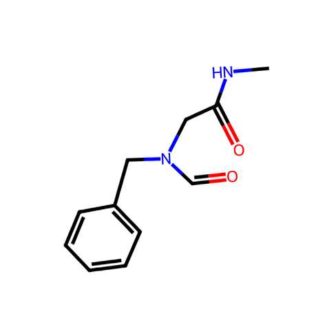 CNC(=O)CN(C=O)Cc1ccccc1